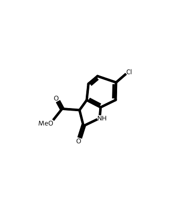 COC(=O)C1C(=O)Nc2cc(Cl)ccc21